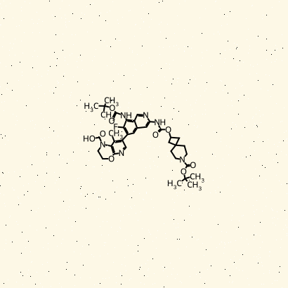 Cc1c(-c2cc3cc(NC(=O)OC4CC5(CCN(C(=O)OC(C)(C)C)CC5)C4)ncc3c(NC(=O)OC(C)(C)C)c2F)cnc2c1N(C(=O)O)CCO2